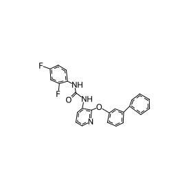 O=C(Nc1ccc(F)cc1F)Nc1cccnc1Oc1cccc(-c2ccccc2)c1